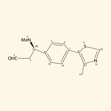 CN[C@H](CC=O)c1ccc(-c2scnc2C)cc1